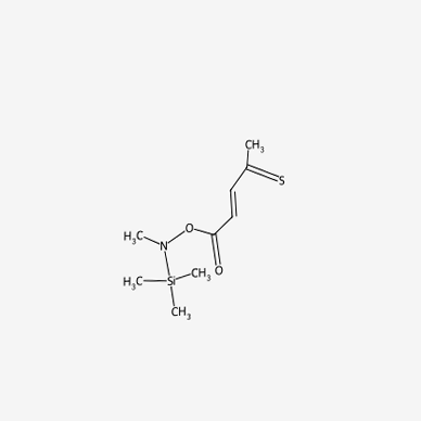 CC(=S)C=CC(=O)ON(C)[Si](C)(C)C